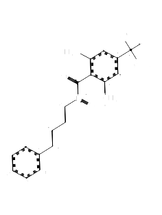 Cc1cc(C(C)(C)C)cc(C)c1C(=O)[PH](=O)CCCCc1ccccc1